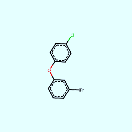 CC(C)c1cccc(Oc2ccc(Cl)cc2)c1